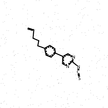 C=CCCCc1ccc(-c2cnc(N=C=S)nc2)cc1